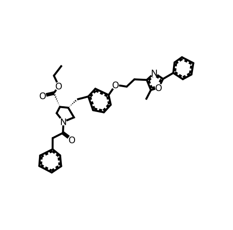 CCOC(=O)[C@H]1CN(C(=O)Cc2ccccc2)C[C@H]1Cc1cccc(OCCc2nc(-c3ccccc3)oc2C)c1